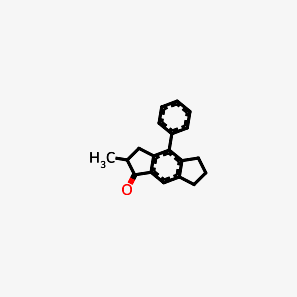 CC1Cc2c(cc3c(c2-c2ccccc2)CCC3)C1=O